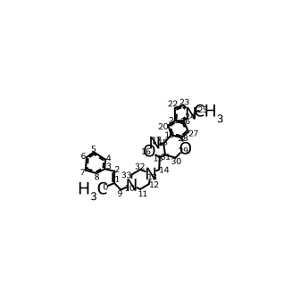 CC(=Cc1ccccc1)CN1CCN(CC2ON=C3c4cc5ccn(C)c5cc4OCC32)CC1